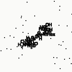 CCCCCCN(CCNC(=O)N1CCC(N(C)CC(CNC(=O)c2nc(Cl)c(N)nc2N)Cc2ccccc2C)CC1)C[C@H](O)[C@@H](O)[C@H](O)[C@H](O)CO